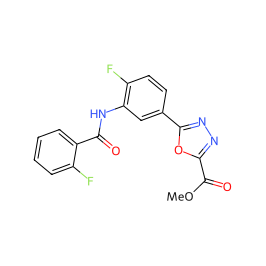 COC(=O)c1nnc(-c2ccc(F)c(NC(=O)c3ccccc3F)c2)o1